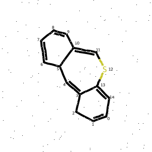 C1=CCC2=CC3C=CC=CC3=CSC2=C1